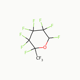 FC1OC(F)(C(F)(F)F)C(F)(F)C(F)(F)C1(F)F